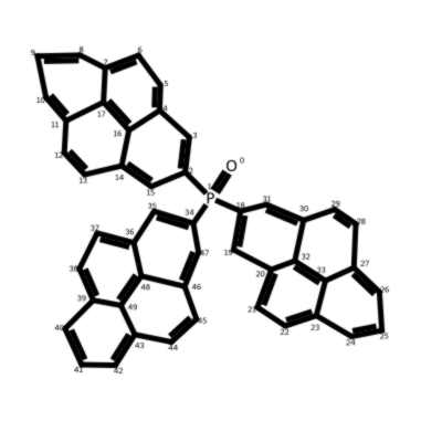 O=P(c1cc2ccc3cccc4ccc(c1)c2c34)(c1cc2ccc3cccc4ccc(c1)c2c34)c1cc2ccc3cccc4ccc(c1)c2c34